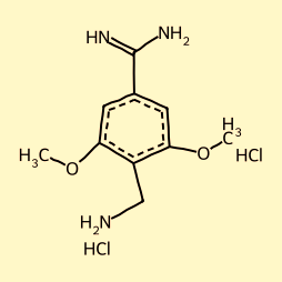 COc1cc(C(=N)N)cc(OC)c1CN.Cl.Cl